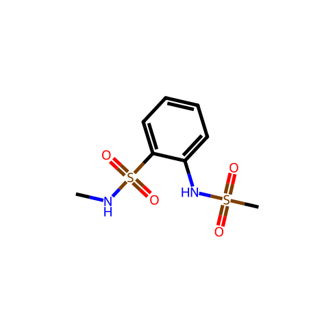 CNS(=O)(=O)c1ccccc1NS(C)(=O)=O